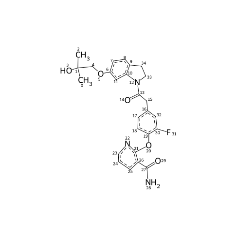 CC(C)(O)COc1ccc2c(c1)N(C(=O)Cc1ccc(Oc3ncccc3C(N)=O)c(F)c1)CC2